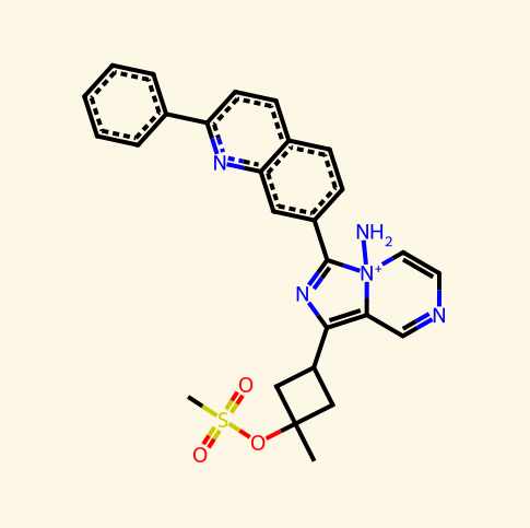 CC1(OS(C)(=O)=O)CC(C2=C3C=NC=C[N+]3(N)C(c3ccc4ccc(-c5ccccc5)nc4c3)=N2)C1